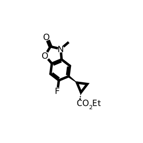 CCOC(=O)[C@H]1C[C@@H]1c1cc2c(cc1F)oc(=O)n2C